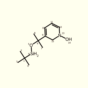 CC(C)(C)[SiH2]OC(C)(C)C1=CC=CN(O)C1